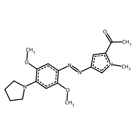 COc1cc(N2CCCC2)c(OC)cc1/N=N/c1cc(C(C)=O)n(C)c1